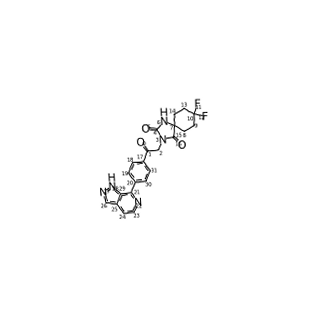 O=C(CN1C(=O)NC2(CCC(F)(F)CC2)C1=O)c1ccc(-c2nccc3cn[nH]c23)cc1